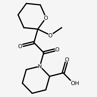 COC1(C(=O)C(=O)N2CCCCC2C(=O)O)CCCCO1